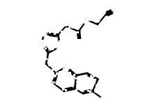 N#CCNC(=O)Cc1nnc(Cc2ccc3cc(Br)ccc3n2)o1